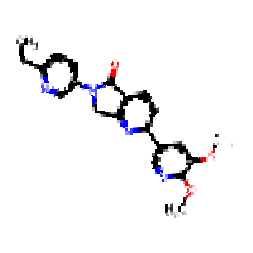 CCc1ccc(N2Cc3nc(-c4cnc(OC)c(OC)c4)ccc3C2=O)cn1